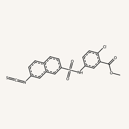 COC(=O)c1cc(NS(=O)(=O)c2ccc3ccc(N=C=S)cc3c2)ccc1Cl